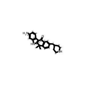 CC1(C)c2ccc(CC3CCNCC3)cc2C(=O)c2c1[nH]c1cc(N)ccc21